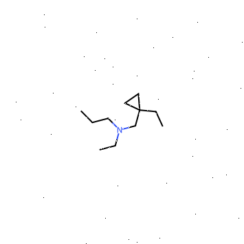 CCCN(CC)CC1(CC)CC1